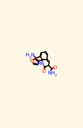 NC(=O)C1=CC=CC2=CC(C(N)=O)C(=O)NC21c1ccsc1